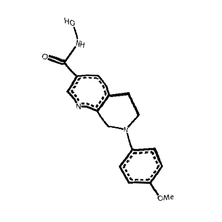 COc1ccc(N2CCc3cc(C(=O)NO)cnc3C2)cc1